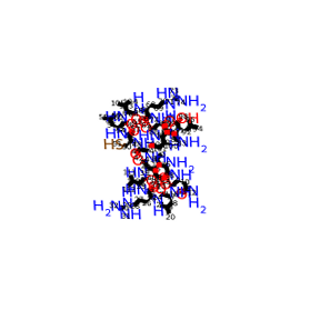 CC[C@H](C)[C@H](N)C(=O)N[C@@H](CC(N)=O)C(=O)N[C@@H](CC(C)C)C(=O)N[C@@H](CCCNC(=N)N)C(=O)N[C@H](C(=O)N[C@H](C(=O)N[C@@H](C)C(=O)N[C@@H](CS)C(=O)N[C@@H](CC(C)C)C(=O)N[C@H](C(=O)N[C@@H](CCCNC(=N)N)C(=O)N[C@@H](CCCCN)C(=O)N[C@H](C(=O)N[C@@H](CC(C)C)C(=O)O)[C@@H](C)CC)C(C)C)[C@@H](C)CC)C(C)C